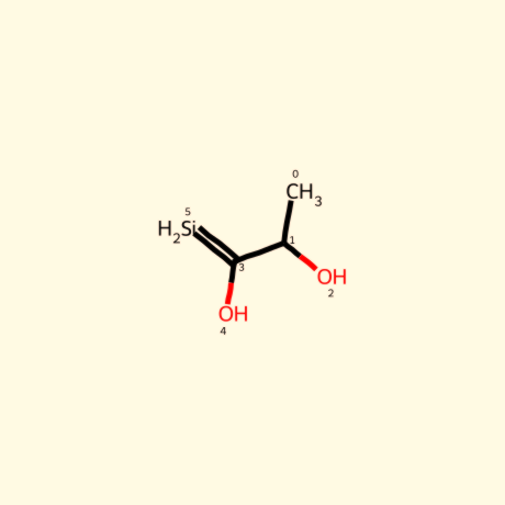 CC(O)C(O)=[SiH2]